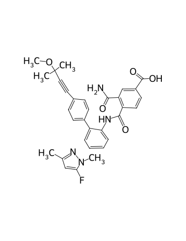 COC(C)(C)C#Cc1ccc(-c2ccccc2NC(=O)c2ccc(C(=O)O)cc2C(N)=O)cc1.Cc1cc(F)n(C)n1